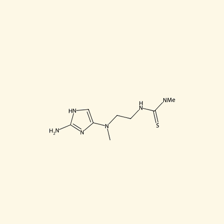 CNC(=S)NCCN(C)c1c[nH]c(N)n1